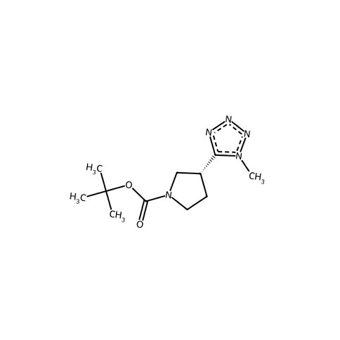 Cn1nnnc1[C@@H]1CCN(C(=O)OC(C)(C)C)C1